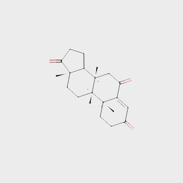 C[C@]12CCC(=O)C=C1C(=O)C[C@@H]1[C@H]2CC[C@]2(C)C(=O)CC[C@@H]12